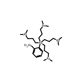 C[As](C)CCC[As](CCC[As](C)C)(CCC[As](C)C)(CCC[As](C)C)c1ccccc1[AsH2]